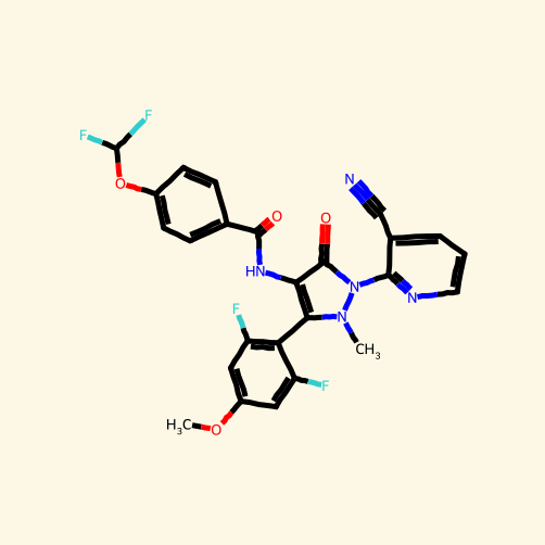 COc1cc(F)c(-c2c(NC(=O)c3ccc(OC(F)F)cc3)c(=O)n(-c3ncccc3C#N)n2C)c(F)c1